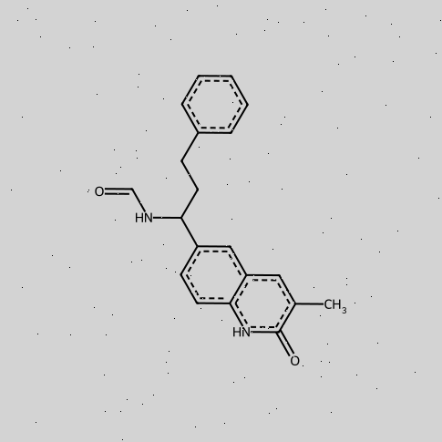 Cc1cc2cc(C(CCc3ccccc3)NC=O)ccc2[nH]c1=O